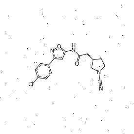 N#CN1CC[C@H](CC(=O)Nc2cc(-c3ccc(Cl)cc3)no2)C1